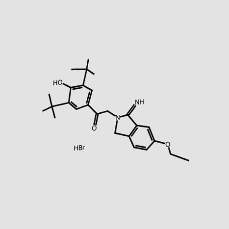 Br.CCOc1ccc2c(c1)C(=N)N(CC(=O)c1cc(C(C)(C)C)c(O)c(C(C)(C)C)c1)C2